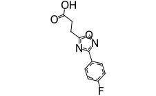 O=C(O)CCc1nc(-c2ccc(F)cc2)no1